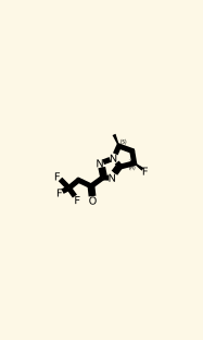 C[C@H]1C[C@@H](F)c2nc(C(=O)CC(F)(F)F)nn21